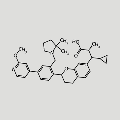 COc1cc(-c2ccc(C3CCc4ccc(C(C5CC5)[C@H](C)C(=O)O)cc4O3)c(CN3CCCC3(C)C)c2)ccn1